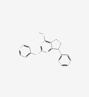 CNc1nc(Nc2ccncc2)nc2c1CCC2c1ccccc1